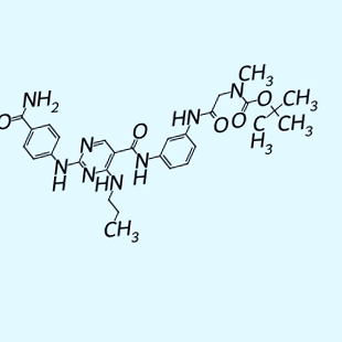 CCCNc1nc(Nc2ccc(C(N)=O)cc2)ncc1C(=O)Nc1cccc(NC(=O)CN(C)C(=O)OC(C)(C)C)c1